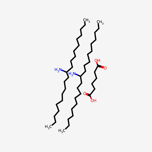 CCCCCCCCCCC(N)CCCCCCCCCC.CCCCCCCCCCC(N)CCCCCCCCCC.O=C(O)CCCCC(=O)O